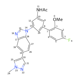 COc1cc(F)ccc1-c1cc(NC(C)=O)cc(-n2cnc3cc(-c4cnn(C)c4)ccc32)c1